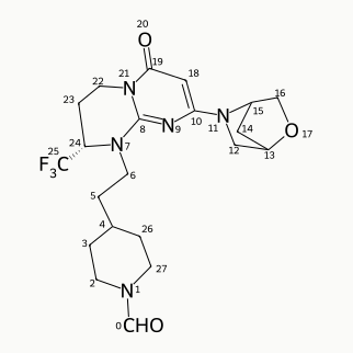 O=CN1CCC(CCN2c3nc(N4CC5CC4CO5)cc(=O)n3CC[C@H]2C(F)(F)F)CC1